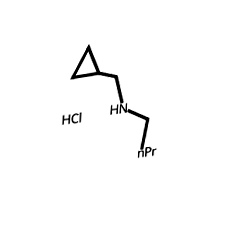 CCCCNCC1CC1.Cl